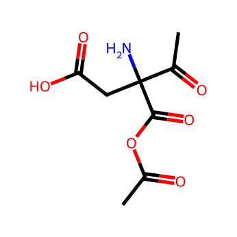 CC(=O)OC(=O)C(N)(CC(=O)O)C(C)=O